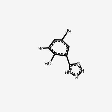 Oc1c(Br)cc(Br)cc1-c1nnn[nH]1